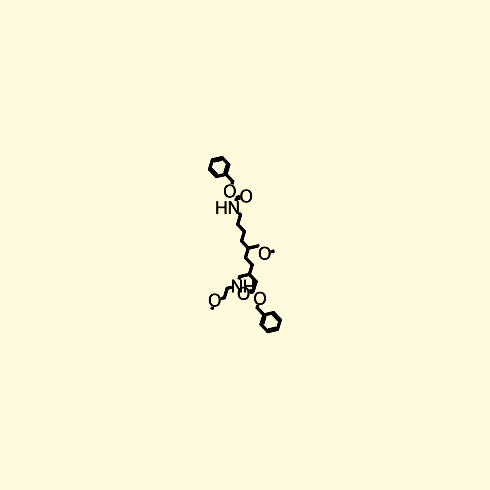 COCCNCC(CCC(CCCCNC(=O)OCc1ccccc1)COC)CC(=O)OCc1ccccc1